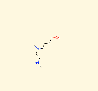 CNCCN(C)CCCCO